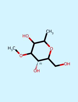 COC1C(O)C(C)OC(CO)[C@@H]1O